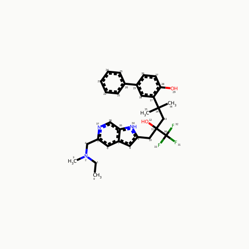 CCN(C)Cc1cc2cc(CC(O)(CC(C)(C)c3cc(-c4ccccc4)ccc3O)C(F)(F)F)[nH]c2cn1